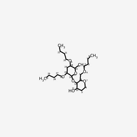 CCCCOCC1OCCC(O)C1OC1OC(C)C(OCCCC)CC1OCCCC